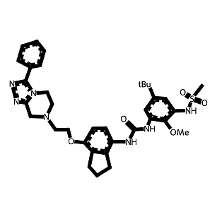 COc1c(NC(=O)Nc2ccc(OCCN3CCn4c(nnc4-c4ccccc4)C3)c3c2CCC3)cc(C(C)(C)C)cc1NS(C)(=O)=O